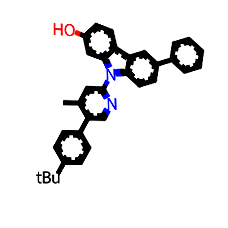 Cc1cc(-n2c3ccc(-c4ccccc4)cc3c3ccc(O)cc32)ncc1-c1ccc(C(C)(C)C)cc1